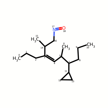 CCC/C(=C/C(C)C(CCC)C1CC1)C(C)CN=O